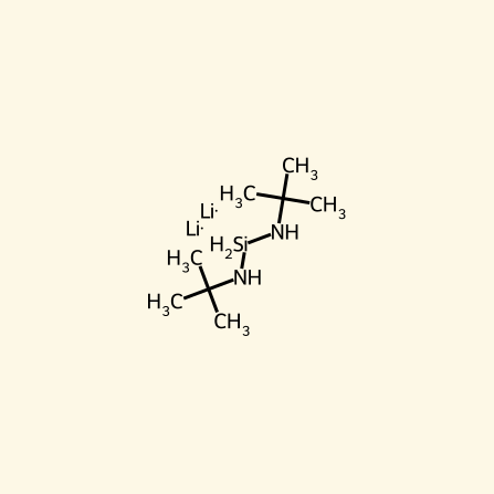 CC(C)(C)N[SiH2]NC(C)(C)C.[Li].[Li]